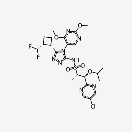 COc1ncc(-n2c(NS(=O)(=O)[C@@H](C)[C@@H](OC(C)C)c3ncc(Cl)cn3)nnc2[C@H]2CC[C@H]2C(F)F)c(OC)n1